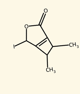 CC1C2=C(C(I)OC2=O)C1C